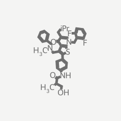 CC(C)Cc1cn(Cc2c(F)cccc2F)c2sc(-c3ccc(NC(=O)C(C)CO)cc3)c(CN(C)Cc3ccccc3)c2c1=O